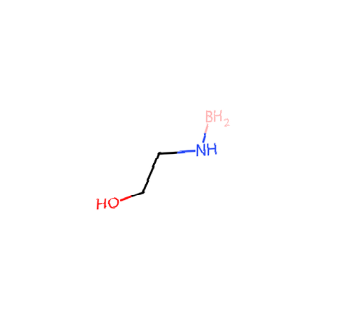 BNCCO